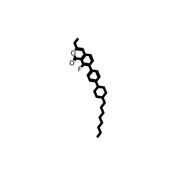 CCCCCCCCC1CCC(c2ccc(-c3ccc4cc(CC)oc(=O)c4c3F)cc2)CC1